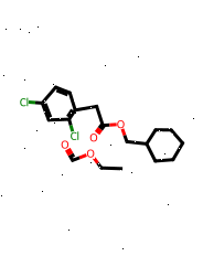 CCOC=O.O=C(Cc1ccc(Cl)cc1Cl)OCC1CCCCC1